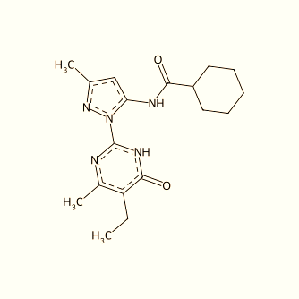 CCc1c(C)nc(-n2nc(C)cc2NC(=O)C2CCCCC2)[nH]c1=O